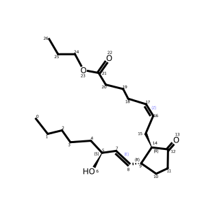 CCCCC[C@H](O)/C=C/[C@H]1CCC(=O)[C@@H]1C/C=C\CCCC(=O)OCCC